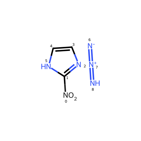 O=[N+]([O-])c1ncc[nH]1.[N-]=[N+]=N